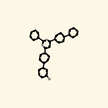 Brc1cccc(-c2ccc(-c3cc(-c4ccc(-c5ccccc5)cc4)nc(-c4ccccc4)n3)cc2)c1